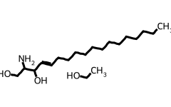 CCCCCCCCCCCCC/C=C/C(O)C(N)CO.CCO